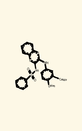 COc1ccc(Nc2nc3ccccc3nc2NS(=O)(=O)c2ccccc2)cc1OC